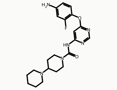 Nc1ccc(Oc2cc(NC(=O)N3CCC(N4CCCCC4)CC3)ncn2)c(F)c1